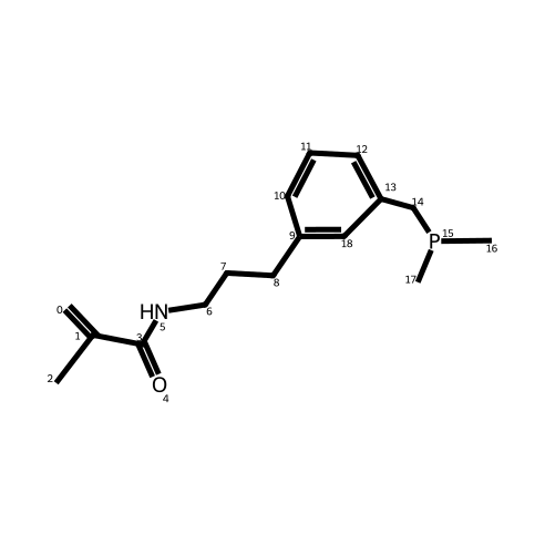 C=C(C)C(=O)NCCCc1cccc(CP(C)C)c1